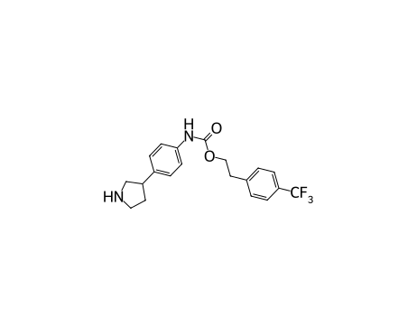 O=C(Nc1ccc(C2CCNC2)cc1)OCCc1ccc(C(F)(F)F)cc1